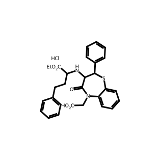 CCOC(=O)C(CCc1ccccc1)NC1C(=O)N(CC(=O)O)c2ccccc2SC1c1ccccc1.Cl